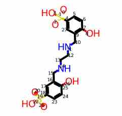 O=S(=O)(O)c1ccc(O)c(CNCCNCc2cc(S(=O)(=O)O)ccc2O)c1